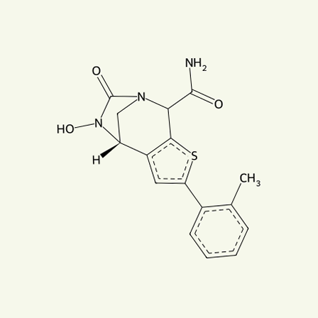 Cc1ccccc1-c1cc2c(s1)C(C(N)=O)N1C[C@H]2N(O)C1=O